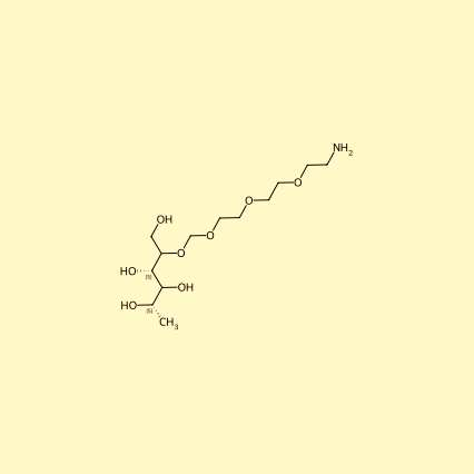 C[C@H](O)C(O)[C@H](O)C(CO)OCOCCOCCOCCN